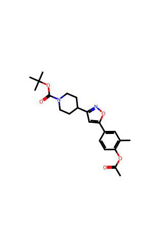 CC(=O)Oc1ccc(-c2cc(C3CCN(C(=O)OC(C)(C)C)CC3)no2)cc1C